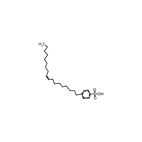 CCCCCCCC/C=C\CCCCCCCCc1ccc(S(=O)(=O)O)cc1